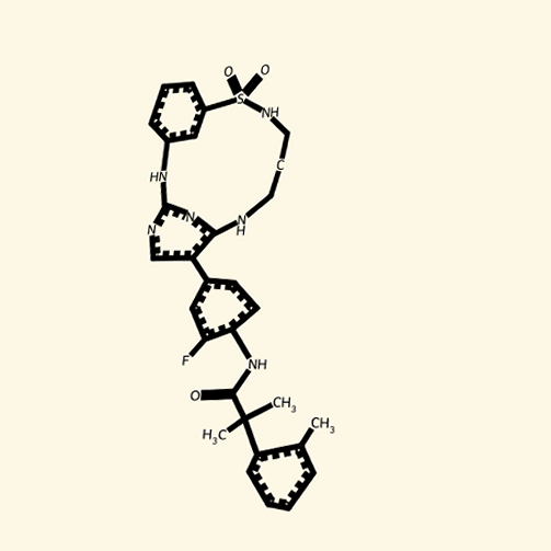 Cc1ccccc1C(C)(C)C(=O)Nc1ccc(-c2cnc3nc2NCCCNS(=O)(=O)c2cccc(c2)N3)cc1F